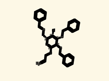 C=CCO[C@H]1O[C@H](COCc2ccccc2)[C@H](Cl)[C@H](OCc2ccccc2)[C@H]1OCc1ccccc1